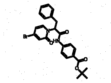 CC(C)(C)OC(=O)c1ccc(NC(=O)C(Cc2ccccc2)n2ccc(Br)cc2=O)cc1